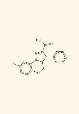 CC(=O)C1=NN2c3cc(F)ccc3OCC2C1c1ccccc1